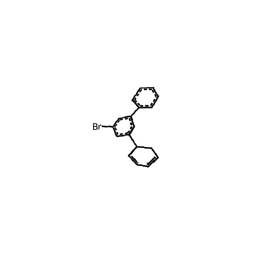 Brc1cc(-c2ccccc2)cc(C2C=CC=CC2)c1